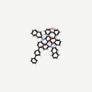 c1ccc(-c2ccc(-c3ccc(N(c4ccc5ccccc5c4)c4ccccc4-c4ccccc4N(c4ccc5ccccc5c4)c4ccc(-c5cccc6oc7ccccc7c56)c5ccccc45)cc3)cc2)cc1